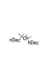 CCCCCCCCCCC(C)(C)OC(C)(C)CCCCCCCCCC